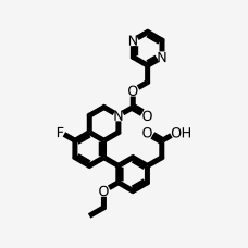 CCOc1ccc(CC(=O)O)cc1-c1ccc(F)c2c1CN(C(=O)OCc1cnccn1)CC2